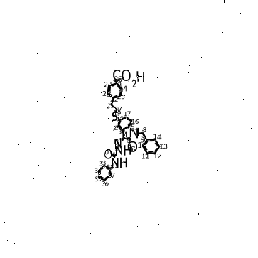 O=C(NN=C1C(=O)N(Cc2ccccc2)c2ccc(SCCc3ccc(C(=O)O)cc3)cc21)Nc1ccccc1